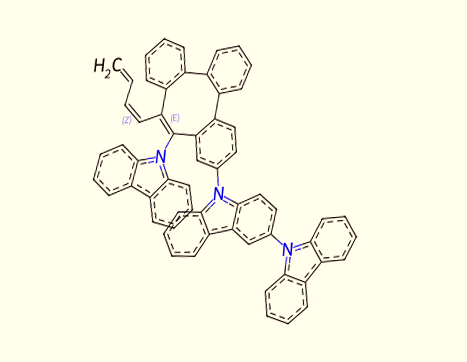 C=C/C=C\C1=C(/n2c3ccccc3c3ccccc32)c2cc(-n3c4ccccc4c4cc(-n5c6ccccc6c6ccccc65)ccc43)ccc2-c2ccccc2-c2ccccc21